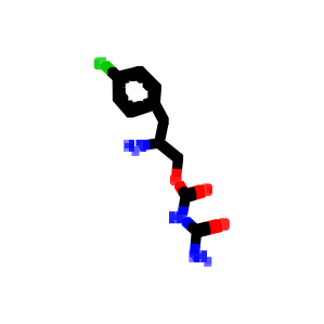 NC(=O)NC(=O)OCC(N)Cc1ccc(Cl)cc1